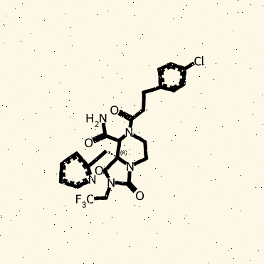 NC(=O)C1N(C(=O)[CH]Cc2ccc(Cl)cc2)CCN2C(=O)N(CC(F)(F)F)C(=O)[C@@]12Cc1ccccn1